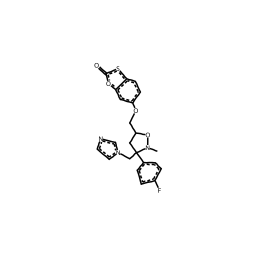 CN1OC(COc2ccc3sc(=O)oc3c2)CC1(Cn1ccnc1)c1ccc(F)cc1